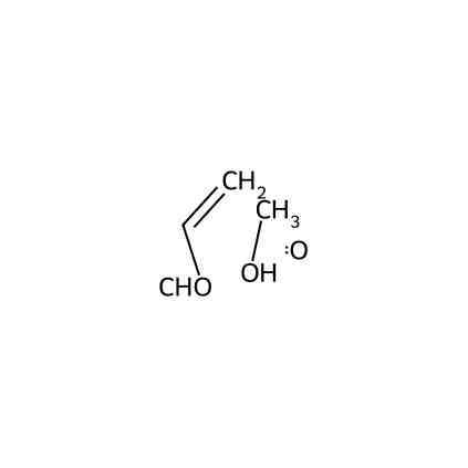 C=CC=O.CO.[O]